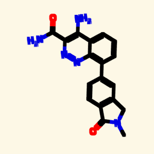 CN1Cc2cc(-c3cccc4c(N)c(C(N)=O)nnc34)ccc2C1=O